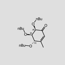 CCCCO[C@H]1[C@@H](OCCCC)C(=O)C=C(C)[C@@H]1OCCCC